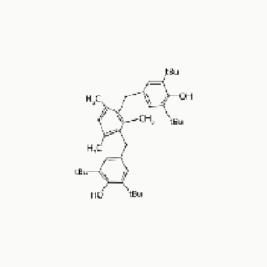 Cc1cc(C)c(Cc2cc(C(C)(C)C)c(O)c(C(C)(C)C)c2)c(C)c1Cc1cc(C(C)(C)C)c(O)c(C(C)(C)C)c1